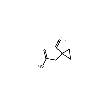 C=CC1(CC(=O)O)CC1